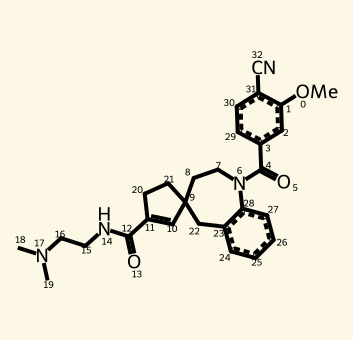 COc1cc(C(=O)N2CCC3(C=C(C(=O)NCCN(C)C)CC3)Cc3ccccc32)ccc1C#N